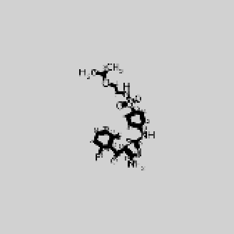 CC(C)OCCNS(=O)(=O)c1ccc(Nc2nc(N)c(C(=O)c3c(F)cccc3F)s2)cc1